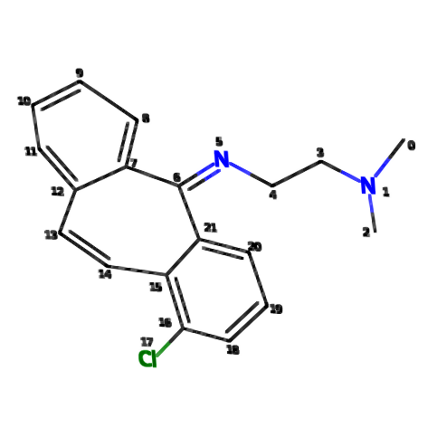 CN(C)CCN=c1c2ccccc2ccc2c(Cl)cccc12